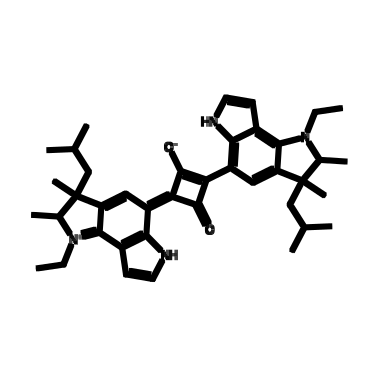 CCN1c2c(cc(C3=C([O-])/C(=c4\cc5c(c6cc[nH]c46)=[N+](CC)C(C)C5(C)CC(C)C)C3=O)c3[nH]ccc23)C(C)(CC(C)C)C1C